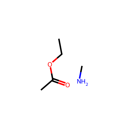 CCOC(C)=O.CN